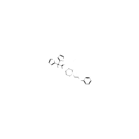 C[N@+]1(CCOc2ccccc2)CC[C@H](OC(=O)C(O)(c2cccs2)c2cccs2)CC1.[Br-]